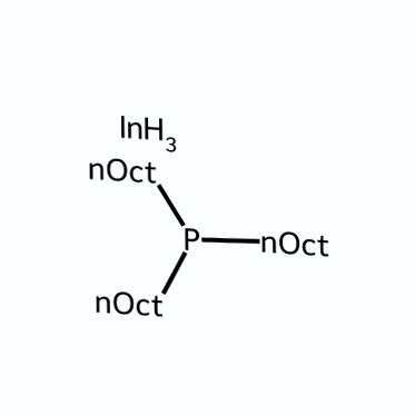 CCCCCCCCP(CCCCCCCC)CCCCCCCC.[InH3]